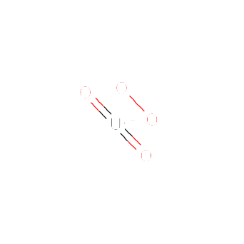 [O-][O-].[O]=[U+2]=[O]